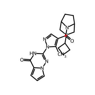 Cc1c(C(=O)N2C3CCC2CN(C2CCC2)C3)cnn1-c1nn2cccc2c(=O)[nH]1